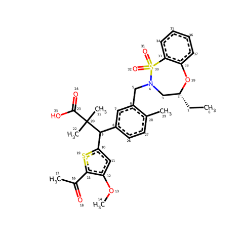 CC[C@@H]1CN(Cc2cc(C(c3cc(OC)c(C(C)=O)s3)C(C)(C)C(=O)O)ccc2C)S(=O)(=O)c2ccccc2O1